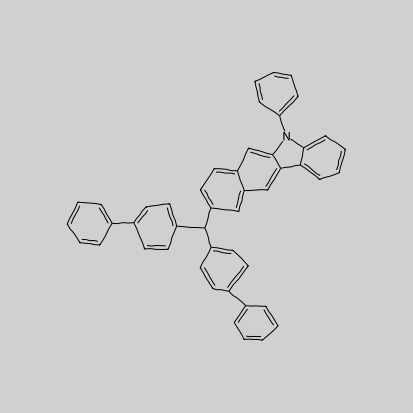 c1ccc(-c2ccc(C(c3ccc(-c4ccccc4)cc3)c3ccc4cc5c(cc4c3)c3ccccc3n5-c3ccccc3)cc2)cc1